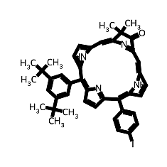 CC(C)(C)c1cc(-c2c3nc(c(-c4ccc(I)cc4)c4ccc(cc5nc(cc6ccc2[nH]6)C(C)(C)C5=O)[nH]4)C=C3)cc(C(C)(C)C)c1